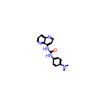 CN(C)c1ccc(NC(=O)Nc2ccnc3cccnc23)cc1